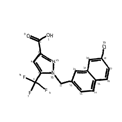 O=C(O)c1cc(C(F)(F)F)n(Cc2ccc3ccc(Cl)cc3c2)n1